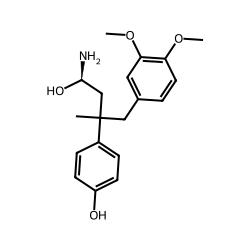 COc1ccc(CC(C)(C[C@H](N)O)c2ccc(O)cc2)cc1OC